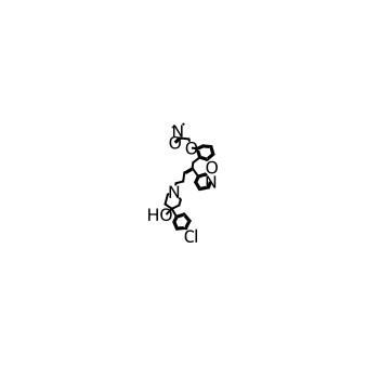 CN(C)C(=O)COc1cccc2c1C/C(=C/CCN1CCC(O)(c3ccc(Cl)cc3)CC1)c1cccnc1O2